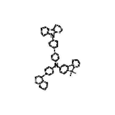 CC1(C)c2ccccc2-c2cc(N(c3ccc(-c4ccc(-n5c6ccccc6c6ccccc65)cc4)cc3)c3ccc(-c4cccc5ccccc45)cc3)ccc21